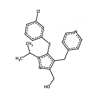 CC(C)n1nc(CO)c(Cc2ccncc2)c1Sc1cccc(Cl)c1